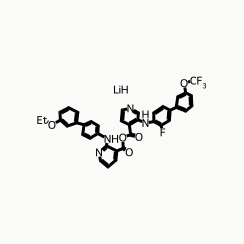 CCOc1cccc(-c2ccc(Nc3ncccc3C(=O)OC(=O)c3ccncc3Nc3ccc(-c4cccc(OC(F)(F)F)c4)cc3F)cc2)c1.[LiH]